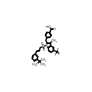 Cc1c(Cc2ccc(C(=O)O)cc2)n(S(=O)(=O)CC=Cc2cccc(C(C)(C)C)c2)c2ccc(C(F)(F)F)cc12